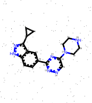 c1cc2[nH]nc(C3CC3)c2cc1-c1nncc(N2CCNCC2)n1